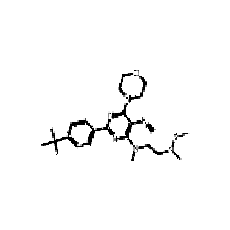 C=Nc1c(N(C)CCN(C)SC)nc(-c2ccc(C(C)(C)C)cc2)nc1N1CCOCC1